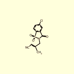 CC(=CC#N)CN1C(=O)c2cc(Cl)ccc2S1(=O)=O